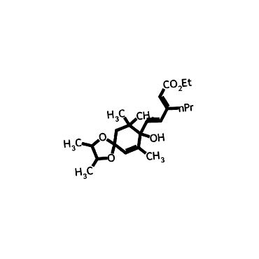 CCCC(C=CC1(O)C(C)=CC2(CC1(C)C)OC(C)C(C)O2)=CC(=O)OCC